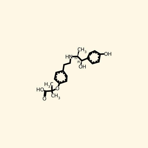 C[C@H](NCCc1ccc(OC(C)(C)C(=O)O)cc1)[C@H](O)c1ccc(O)cc1